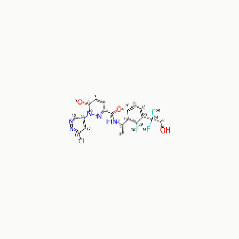 C[C@@H](NC(=O)c1ccc(=O)n(-c2cnnc(Cl)c2)n1)c1cccc(C(F)(F)CO)c1F